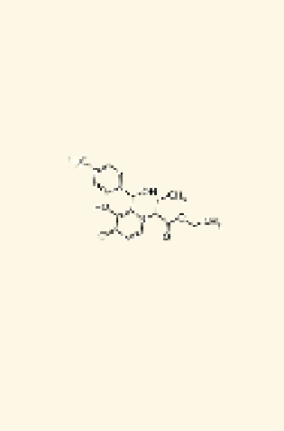 CCOC(=O)C(CC)n1ccc(=O)c(O)c1C(O)c1ccc(C)cc1